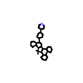 CC1(C)c2c(cc(-c3ccc(-c4ccncc4)cc3)c3ccccc23)-c2c1c1ccccc1c1ccccc21